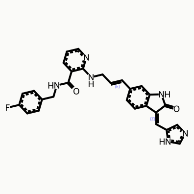 O=C1Nc2cc(/C=C/CNc3ncccc3C(=O)NCc3ccc(F)cc3)ccc2/C1=C/c1cnc[nH]1